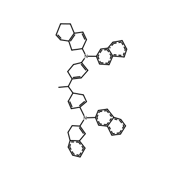 CC(C1=CC=C(N(c2ccc3ccccc3c2)C2C=CC3=C(C=CCC3)C2)CC1)C1C=CC(N(C2=Cc3ccccc3CC2)c2ccc3ccccc3c2)=CC1